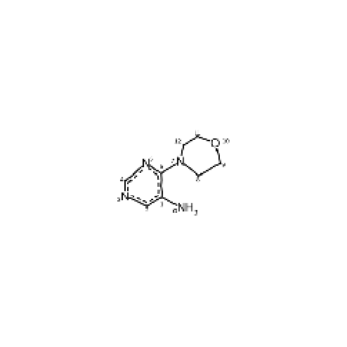 Nc1cn[c]nc1N1CCOCC1